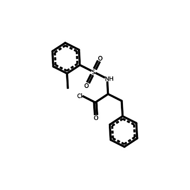 Cc1ccccc1S(=O)(=O)NC(Cc1ccccc1)C(=O)Cl